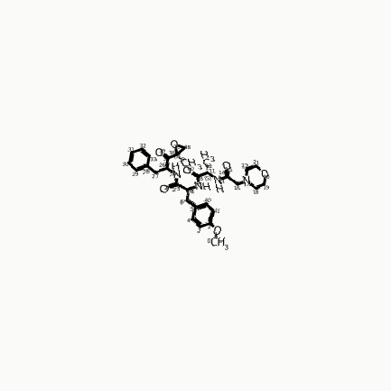 COc1ccc(C[C@H](NC(=O)[C@H](C)NC(=O)CN2CCOCC2)C(=O)NC(Cc2ccccc2)C(=O)[C@]2(C)CO2)cc1